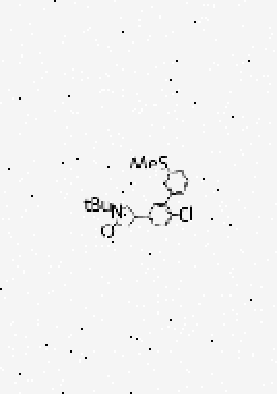 CSc1cccc(-c2cc(C3CC(=O)N(C(C)(C)C)C3)ccc2Cl)c1